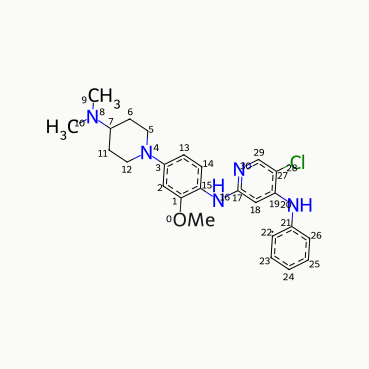 COc1cc(N2CCC(N(C)C)CC2)ccc1Nc1cc(Nc2[c]cccc2)c(Cl)cn1